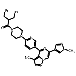 CC(C)CC(CC(C)C)C(=O)N1CCN(c2ccc(-c3nc(-c4cnn(C)c4)cn4ncc(C#N)c34)cn2)CC1